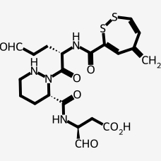 C=C1C=CSSC(C(=O)N[C@@H](CCC=O)C(=O)N2NCCC[C@H]2C(=O)N[C@H](C=O)CC(=O)O)=C1